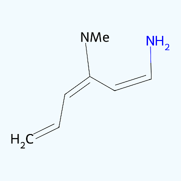 C=C/C=C(\C=C/N)NC